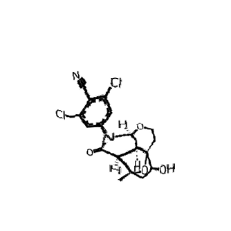 C[C@@]12C[C@H](O)[C@]3(CCO[C@H]4[C@@H]3[C@@H]1C(=O)N4c1cc(Cl)c(C#N)c(Cl)c1)O2